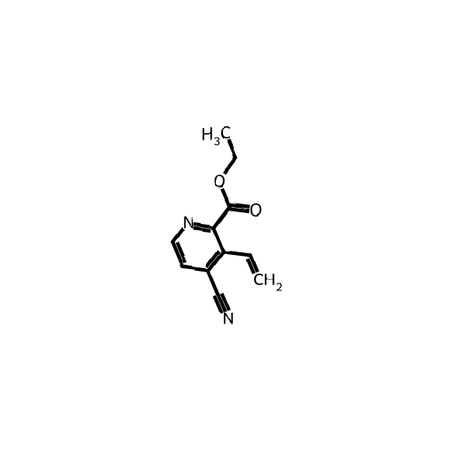 C=Cc1c(C#N)ccnc1C(=O)OCC